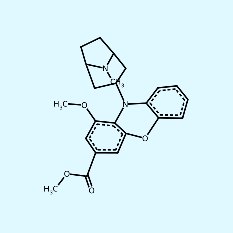 COC(=O)c1cc(OC)c2c(c1)Oc1ccccc1N2C1CC2CCC(C1)N2C